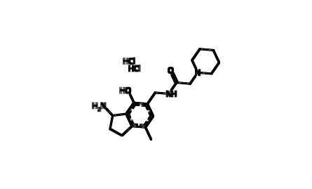 Cc1cc(CNC(=O)CN2CCCCC2)c(O)c2c1CCC2N.Cl.Cl